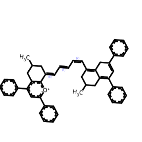 CC1CC(\C=C/C=C/C=C2\CC(C)Cc3c(-c4ccccc4)cc(-c4ccccc4)[o+]c32)=C2CC(c3ccccc3)=CC(c3ccccc3)=C2C1